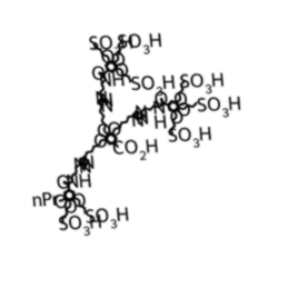 CCCOc1cc(C(=O)NCCCn2cc(CCCCOc3cc(C(=O)O)cc(OCCCCc4cn(CCCNC(=O)c5cc(OCCCS(=O)(=O)O)c(OCCCS(=O)(=O)O)c(OCCCS(=O)(=O)O)c5)nn4)c3OCCCCc3cn(CCCNC(=O)c4cc(OCCCS(=O)(=O)O)c(OCCCS(=O)(=O)O)c(OCCCS(=O)(=O)O)c4)nn3)nn2)cc(OCCCS(=O)(=O)O)c1OCCCS(=O)(=O)O